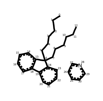 CCCCCCC1(CCCCCC)c2ccccc2-c2ccccc21.c1ccncc1